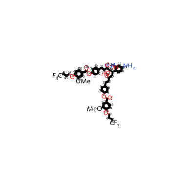 COc1cc(C(=O)Oc2ccc(C=CC(=O)CC(c3ccc(N)cc3N)C(O)(O)C(=O)C=Cc3ccc(OC(=O)c4ccc(OCCCC(F)(F)F)c(OC)c4)cc3)cc2)ccc1OCCCC(F)(F)F